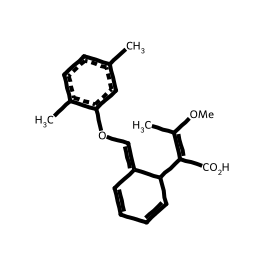 COC(C)=C(C(=O)O)C1C=CC=CC1=COc1cc(C)ccc1C